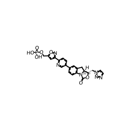 O=C1O[C@@H](Cn2ccnn2)[C@@H]2Cc3cc(-c4ccc(-c5cc(COP(=O)(O)O)on5)nc4)ccc3N12